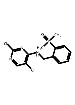 CP(C)(=O)c1ccccc1CNc1nc(Cl)ncc1Cl